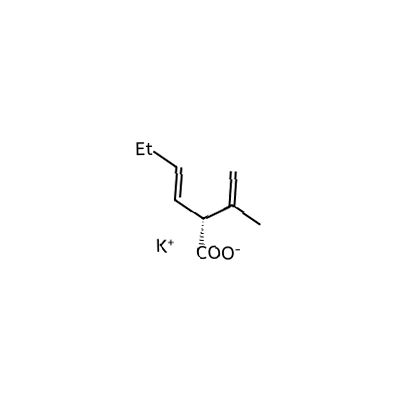 C=C(C)[C@@H](/C=C/CC)C(=O)[O-].[K+]